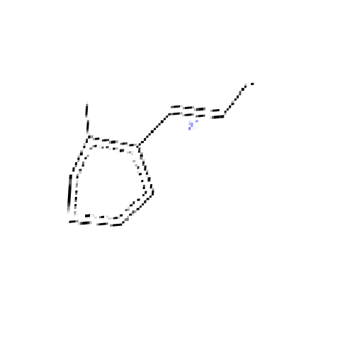 [CH2]/C=C/c1ccccc1C